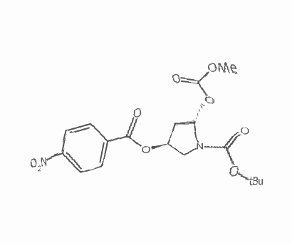 COC(=O)O[C@H]1C[C@H](OC(=O)c2ccc([N+](=O)[O-])cc2)CN1C(=O)OC(C)(C)C